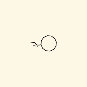 CCNC1CCCCCCCCCCC1